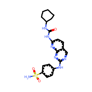 NS(=O)(=O)c1ccc(Nc2ncc3ccc(NC(=O)NC4CCCCC4)nc3n2)cc1